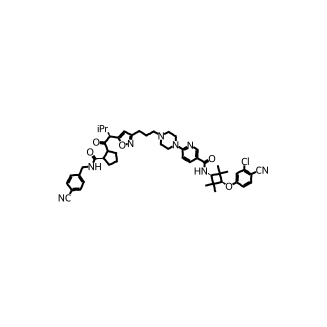 CC(C)[C@H](C(=O)C1CCC[C@H]1C(=O)NCc1ccc(C#N)cc1)c1cc(CCCN2CCN(c3ccc(C(=O)N[C@H]4C(C)(C)[C@H](Oc5ccc(C#N)c(Cl)c5)C4(C)C)cn3)CC2)no1